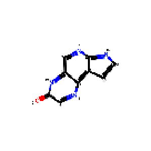 O=C1C=Nc2c3c(ncc2=N1)=NC=C3